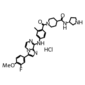 COc1ccc(-c2cnc3c(Nc4ccc(C(=O)N5CCC(C(=O)N[C@H]6CCNC6)CC5)c(C)c4)nccn23)cc1F.Cl